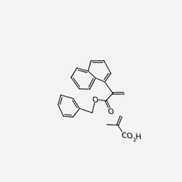 C=C(C(=O)OCc1ccccc1)c1cccc2ccccc12.C=C(C)C(=O)O